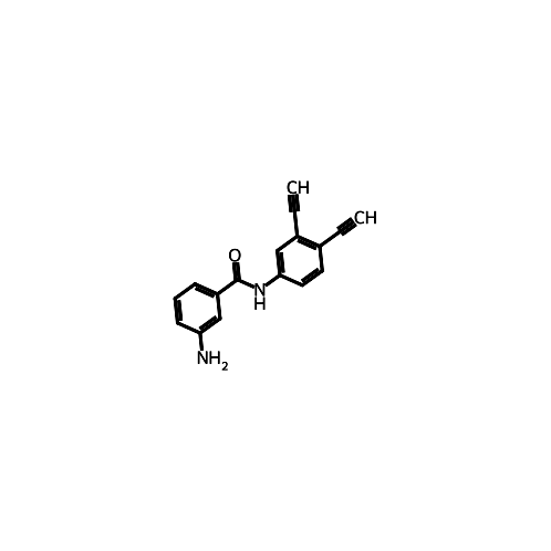 C#Cc1ccc(NC(=O)c2cccc(N)c2)cc1C#C